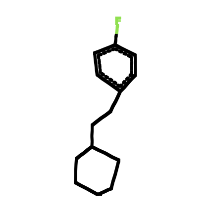 Fc1ccc(CCC2CC[CH]CC2)cc1